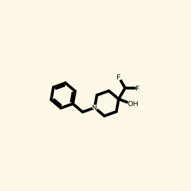 OC1(C(F)F)CCN(Cc2ccccc2)CC1